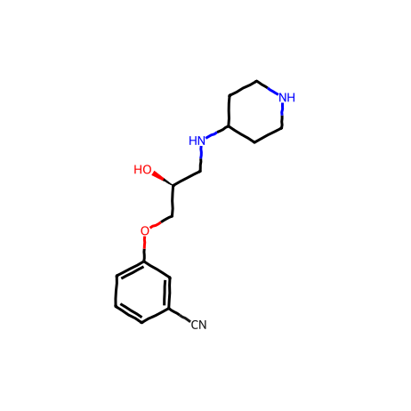 N#Cc1cccc(OC[C@@H](O)CNC2CCNCC2)c1